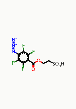 [N-]=[N+]=Nc1c(F)c(F)c(C(=O)OCCS(=O)(=O)O)c(F)c1F